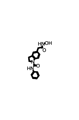 O=C(Cc1ccc2c(c1)CCN2C(=O)Nc1ccccc1)NO